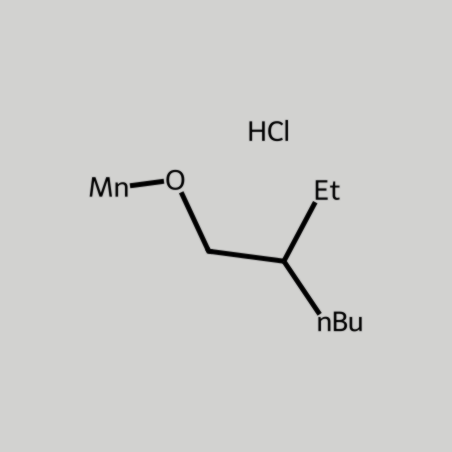 CCCCC(CC)C[O][Mn].Cl